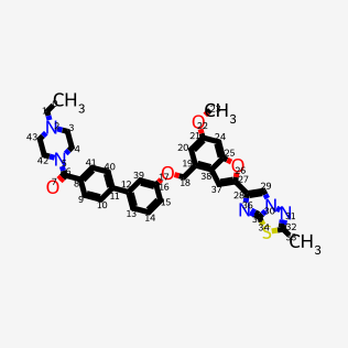 CCN1CCN(C(=O)c2ccc(-c3cccc(OCc4cc(OC)cc5oc(-c6cn7nc(C)sc7n6)cc45)c3)cc2)CC1